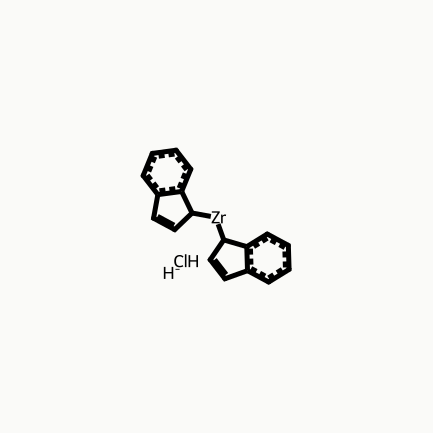 C1=C[CH]([Zr][CH]2C=Cc3ccccc32)c2ccccc21.Cl.[H-]